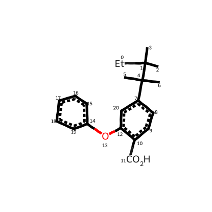 CCC(C)(C)C(C)(C)c1ccc(C(=O)O)c(Oc2ccccc2)c1